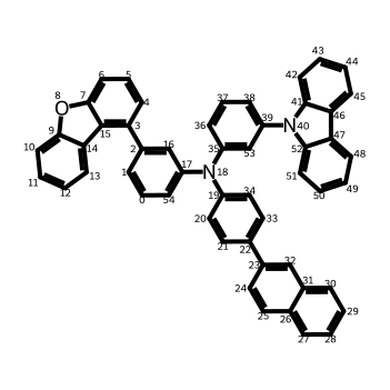 c1cc(-c2cccc3oc4ccccc4c23)cc(N(c2ccc(-c3ccc4ccccc4c3)cc2)c2cccc(-n3c4ccccc4c4ccccc43)c2)c1